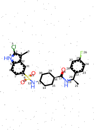 Cc1c(Cl)[nH]c2ccc(S(=O)(=O)N[C@H]3CC[C@H](C(=O)N[C@H](C)c4ccc(F)cc4)CC3)cc12